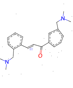 CN(C)Cc1cccc(C(=O)/C=C/c2ccccc2CN(C)C)c1